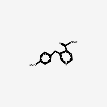 CNC(=O)c1ccncc1Cc1ccc(SC)cc1